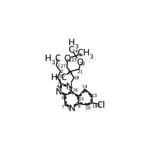 CCCCc1nc2cnc3cc(Cl)ccc3c2n1CC1(C)COC(C)(C)OC1